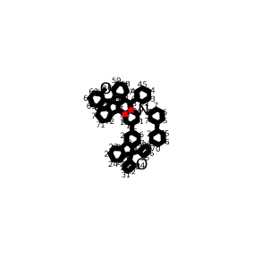 c1ccc(-c2cccc(N(c3cccc(-c4ccc5c(c4)-c4ccccc4C54c5ccccc5Oc5ccccc54)c3)c3ccccc3-c3ccc4c(c3)C3(c5ccccc5Oc5ccccc53)c3ccccc3-4)c2)cc1